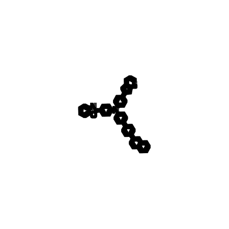 c1csc2cc(-c3ccc(N(c4ccc(-c5ccc(-c6ccc7ccccc7c6)cc5)cc4)c4ccc(-c5nc6ccccc6o5)cc4)cc3)cc-2c1